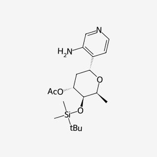 CC(=O)O[C@@H]1C[C@H](c2ccncc2N)O[C@@H](C)[C@H]1O[Si](C)(C)C(C)(C)C